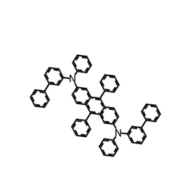 c1ccc(-c2cccc(N(c3ccccc3)c3ccc4c(-c5ccccc5)c5cc(N(c6ccccc6)c6cccc(-c7ccccc7)c6)ccc5c(-c5ccccc5)c4c3)c2)cc1